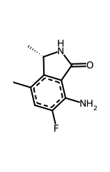 Cc1cc(F)c(N)c2c1[C@H](C)NC2=O